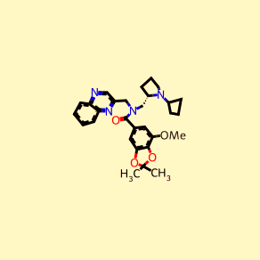 COc1cc(C(=O)N(Cc2cnc3ccccc3n2)C[C@@H]2CCCN2C2CCC2)cc2c1OC(C)(C)O2